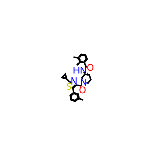 Cc1cccc(-c2sc(C3CC3)nc2C(=O)N2CCC[C@@H](NC(=O)c3cccc(C)c3C)C2)c1